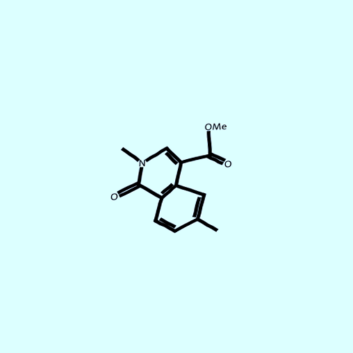 COC(=O)c1cn(C)c(=O)c2ccc(C)cc12